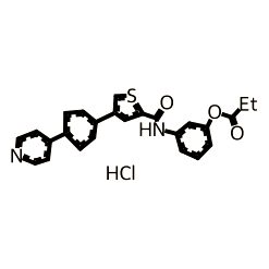 CCC(=O)Oc1cccc(NC(=O)c2cc(-c3ccc(-c4ccncc4)cc3)cs2)c1.Cl